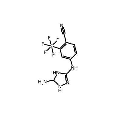 N#Cc1ccc(NC2=NNC(N)N2)cc1S(F)(F)(F)(F)F